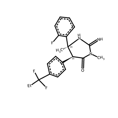 CCC(F)(F)c1ccc([C@@H]2C(=O)N(C)C(=N)N[C@]2(C)c2ccccc2F)cc1